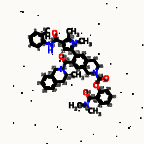 Cc1ccccc1NC(=O)c1cc(-c2cc3c(cc2C(=O)N2Cc4ccccc4C[C@H]2C)CN(C(=O)Oc2ccccc2C(=O)N(C)C)CC3)n(C)c1C